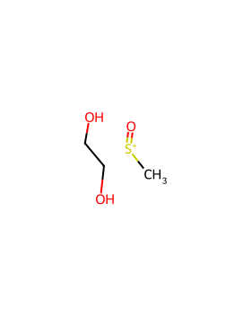 C[S+]=O.OCCO